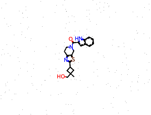 CC1(CO)CC(c2nc3c(s2)CN(C(=O)c2cc4ccccc4[nH]2)CC3)C1